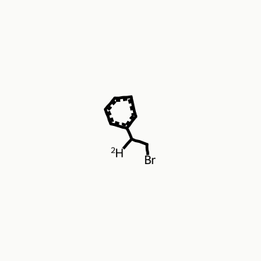 [2H]C(CBr)c1ccccc1